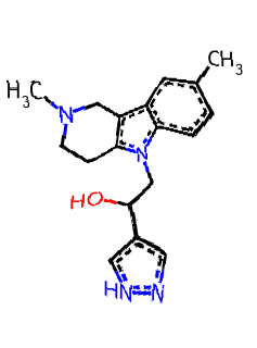 Cc1ccc2c(c1)c1c(n2CC(O)c2cn[nH]c2)CCN(C)C1